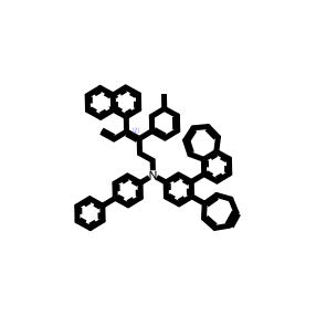 C=C/C(=C(\CCN(c1ccc(-c2ccccc2)cc1)c1ccc(C2=CCC#CC=C2)c(-c2cccc3c2C=C=CC=C3)c1)C1=CC=CC(C)C1)c1cccc2ccccc12